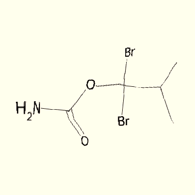 CC(C)C(Br)(Br)OC(N)=O